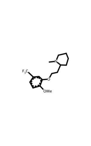 COc1ccc(C(F)(F)F)cc1OCCC1CCCCN1C